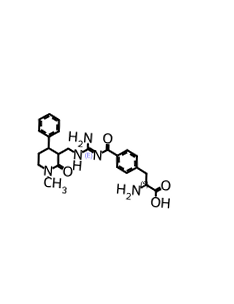 CN1CCC(c2ccccc2)C(CN/C(N)=N/C(=O)c2ccc(C[C@H](N)C(=O)O)cc2)C1=O